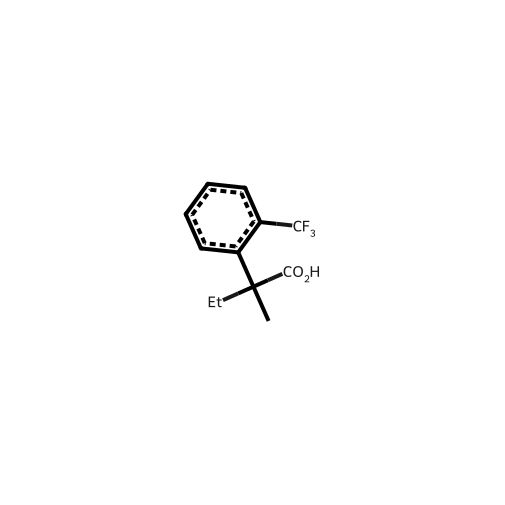 CCC(C)(C(=O)O)c1ccccc1C(F)(F)F